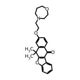 CC1(C)c2cc(OCCN3CCCOCC3)ccc2C(=O)c2c1oc1ccccc21